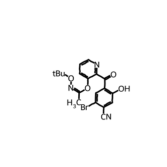 C/C(=N/OC(C)(C)C)Oc1cccnc1C(=O)c1cc(Br)c(C#N)cc1O